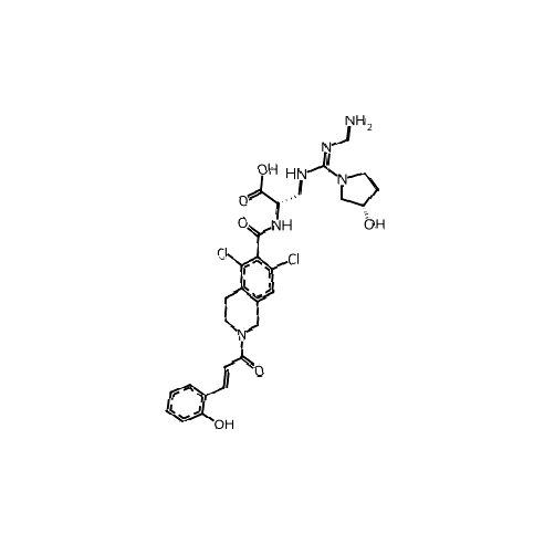 NC/N=C(/NC[C@H](NC(=O)c1c(Cl)cc2c(c1Cl)CCN(C(=O)/C=C/c1ccccc1O)C2)C(=O)O)N1CC[C@H](O)C1